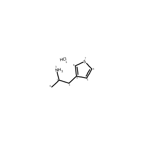 CC(N)Cc1ccsc1.Cl